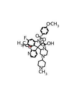 CCOc1ncccc1C1(C2CN(C3CCN(C)CC3)CCN2C(=O)O)C(=O)N(S(=O)(=O)c2ccc(OC)cc2)c2cc(F)c(F)cc21